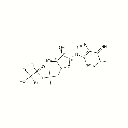 CCC(O)(CC)P(=O)(O)OC(C)(C)CC1O[C@@H](n2cnc3c(=N)n(C)cnc32)[C@H](O)[C@@H]1O